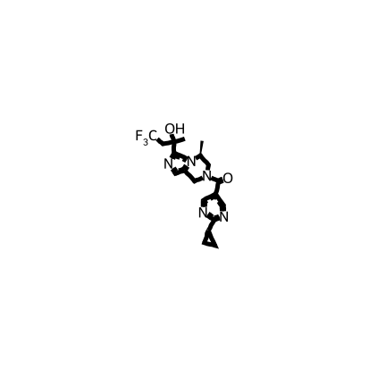 C[C@H]1CN(C(=O)c2cnc(C3CC3)nc2)Cc2cnc(C(C)(O)CC(F)(F)F)n21